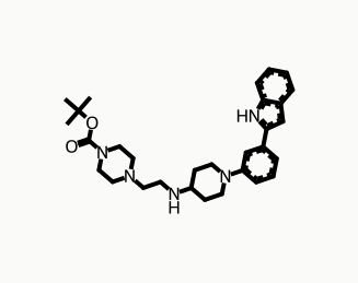 CC(C)(C)OC(=O)N1CCN(CCNC2CCN(c3cccc(-c4cc5ccccc5[nH]4)c3)CC2)CC1